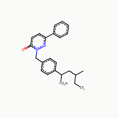 CC(CC(C(=O)O)c1ccc(Cn2nc(-c3ccccc3)ccc2=O)cc1)CC(F)(F)F